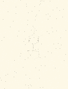 Cc1cc([N+](=O)[O-])c(Cl)cc1C12CC1CN(C)C2